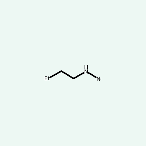 CCCCN[N]